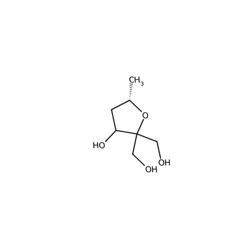 C[C@H]1CC(O)C(CO)(CO)O1